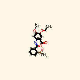 CCOc1cc2c(=O)oc(-c3ccccc3[S+](C)[O-])nc2cc1OC